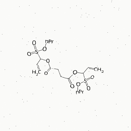 C=CC(OC(=O)CCC(=O)OC(C=C)S(=O)(=O)OCCC)S(=O)(=O)OCCC